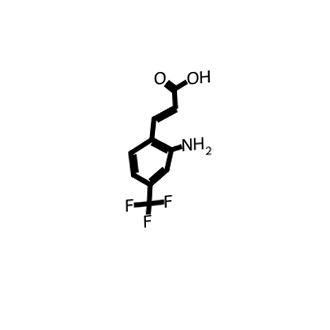 Nc1cc(C(F)(F)F)ccc1/C=C/C(=O)O